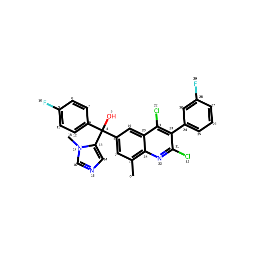 Cc1cc(C(O)(c2ccc(F)cc2)c2cncn2C)cc2c(Cl)c(-c3cccc(F)c3)c(Cl)nc12